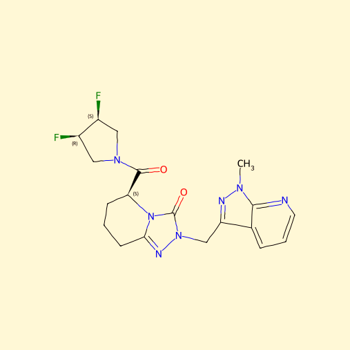 Cn1nc(Cn2nc3n(c2=O)[C@H](C(=O)N2C[C@@H](F)[C@@H](F)C2)CCC3)c2cccnc21